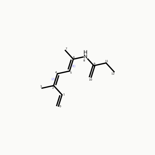 C=C/C(C)=C\C=C(/C)NC(=C)CC